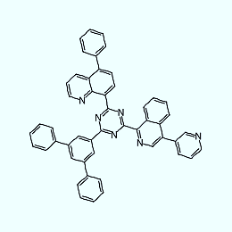 c1ccc(-c2cc(-c3ccccc3)cc(-c3nc(-c4ncc(-c5cccnc5)c5ccccc45)nc(-c4ccc(-c5ccccc5)c5cccnc45)n3)c2)cc1